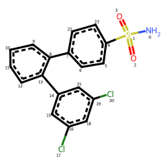 NS(=O)(=O)c1ccc(-c2ccccc2-c2cc(Cl)cc(Cl)c2)cc1